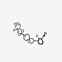 N#Cc1cccc(C2COC3(CCN(C(=O)O[C@H](CO)C(F)(F)F)CC3)C2)c1F